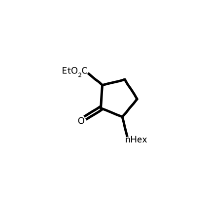 CCCCCCC1CCC(C(=O)OCC)C1=O